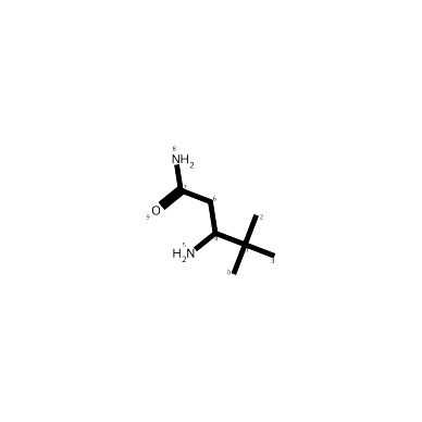 CC(C)(C)C(N)CC(N)=O